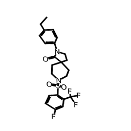 CCc1ccc(N2CCC3(CCN(S(=O)(=O)c4ccc(F)cc4C(F)(F)F)CC3)C2=O)cc1